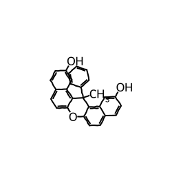 CC1(c2ccccc2)c2c(ccc3ccc(O)cc23)Oc2ccc3ccc(O)cc3c21